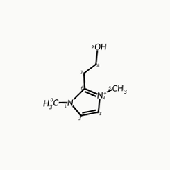 Cn1cc[n+](C)c1CCO